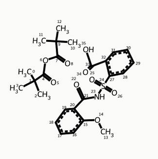 CC(C)(C)C(=O)OC(=O)C(C)(C)C.COc1ccccc1C(=O)NS(=O)(=O)c1ccccc1C(=O)O